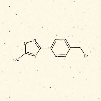 FC(F)(F)c1nc(-c2ccc(CBr)cc2)no1